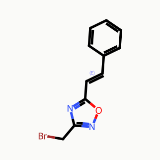 BrCc1noc(/C=C/c2ccccc2)n1